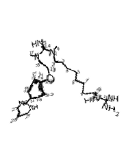 CN(CCCCCCCCNC(=N)N)C(=N)N(C)CCOc1ccc(C2=NCCCN2)cc1